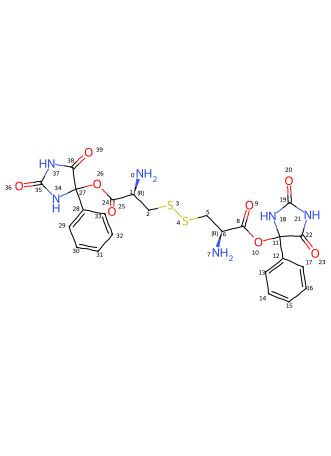 N[C@@H](CSSC[C@H](N)C(=O)OC1(c2ccccc2)NC(=O)NC1=O)C(=O)OC1(c2ccccc2)NC(=O)NC1=O